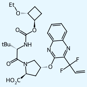 C=CC(F)(F)c1nc2ccccc2nc1O[C@@H]1C[C@@H](C(=O)O)N(C(=O)[C@@H](NC(=O)O[C@@H]2CC[C@H]2OCC)C(C)(C)C)C1